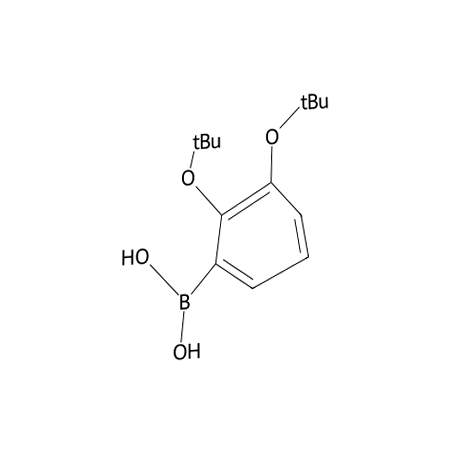 CC(C)(C)Oc1cccc(B(O)O)c1OC(C)(C)C